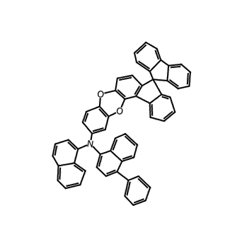 c1ccc(-c2ccc(N(c3ccc4c(c3)Oc3c(ccc5c3-c3ccccc3C53c5ccccc5-c5ccccc53)O4)c3cccc4ccccc34)c3ccccc23)cc1